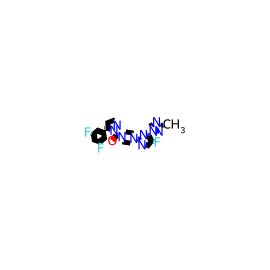 Cc1ncn(-c2nc(N3CCN(C(=O)N4N=CC[C@H]4c4cc(F)cc(F)c4)CC3)ncc2F)n1